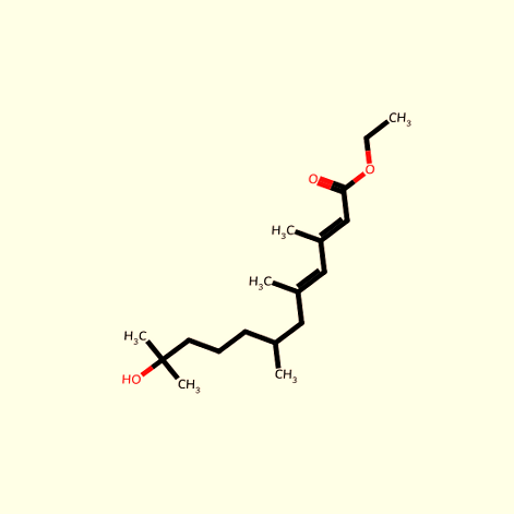 CCOC(=O)/C=C(C)/C=C(\C)CC(C)CCCC(C)(C)O